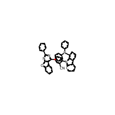 N#Cc1cc(-c2nc(-c3ccccc3)nc3oc4ccccc4c23)ccc1-n1c2ccccc2c2cccc(N(c3ccccc3)c3ccccc3)c21